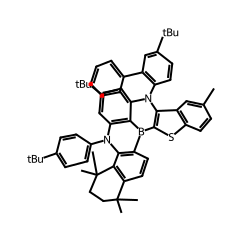 Cc1ccc2sc3c(c2c1)N(c1ccc(C(C)(C)C)cc1-c1ccccc1)c1cc(C(C)(C)C)cc2c1B3c1ccc3c(c1N2c1ccc(C(C)(C)C)cc1)C(C)(C)CCC3(C)C